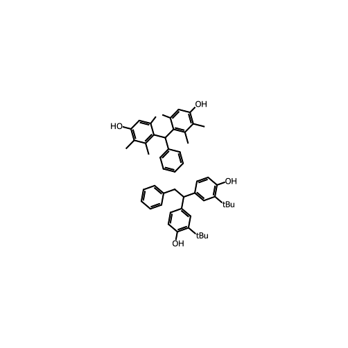 CC(C)(C)c1cc(C(Cc2ccccc2)c2ccc(O)c(C(C)(C)C)c2)ccc1O.Cc1cc(O)c(C)c(C)c1C(c1ccccc1)c1c(C)cc(O)c(C)c1C